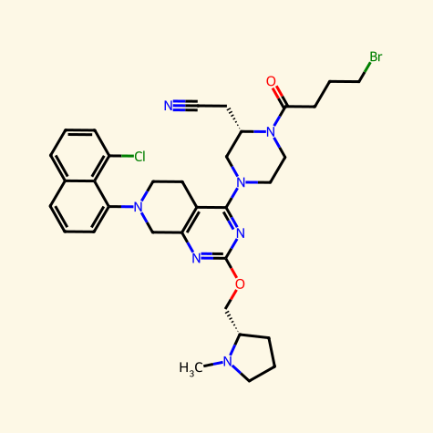 CN1CCC[C@H]1COc1nc2c(c(N3CCN(C(=O)CCCBr)[C@@H](CC#N)C3)n1)CCN(c1cccc3cccc(Cl)c13)C2